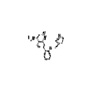 Nc1cnnc2cc(-c3c[c]ccc3OCc3cnsc3)ccc12